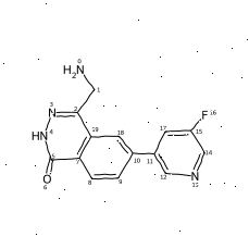 NCc1n[nH]c(=O)c2ccc(-c3cncc(F)c3)cc12